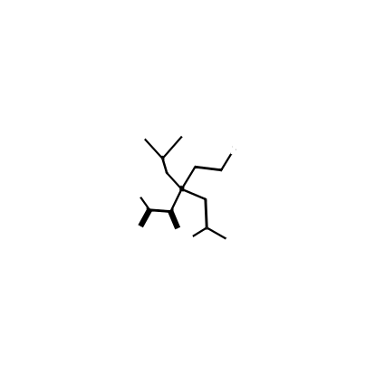 C=C(C(=O)O)C(CCN)(CC(C)C)CC(C)C